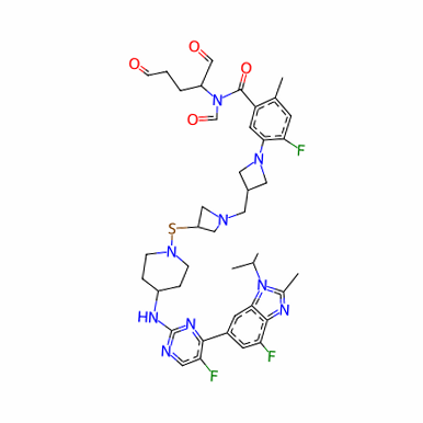 Cc1cc(F)c(N2CC(CN3CC(SN4CCC(Nc5ncc(F)c(-c6cc(F)c7nc(C)n(C(C)C)c7c6)n5)CC4)C3)C2)cc1C(=O)N(C=O)C(C=O)CCC=O